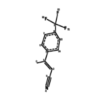 CC(=CC#N)c1ccc(C(F)(F)F)cc1